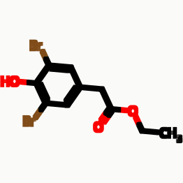 CCOC(=O)Cc1cc(Br)c(O)c(Br)c1